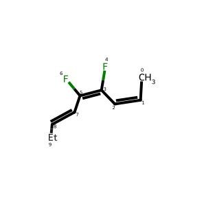 C\C=C/C(F)=C(F)\C=C\CC